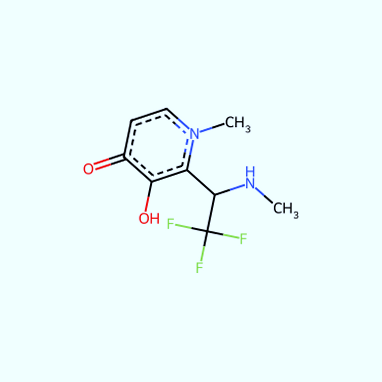 CNC(c1c(O)c(=O)ccn1C)C(F)(F)F